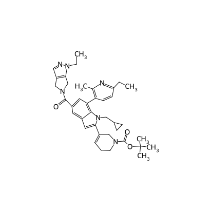 CCc1ccc(-c2cc(C(=O)N3Cc4cnn(CC)c4C3)cc3cc(C4=CCCN(C(=O)OC(C)(C)C)C4)n(CC4CC4)c23)c(C)n1